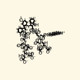 COc1ccc(Cc2c(C(=O)NNC(=O)CN(CCN(CC(=O)[O-])CC(NCC(=O)[O-])NCC(=O)[O-])CC(=O)[O-])[nH]c3ccccc23)c(-c2cn(C(=O)NNC(=O)CN(CCN(CC(=O)[O-])CC(NCC(=O)[O-])NCC(=O)[O-])CC(=O)[O-])c3ccccc23)c1.[Na+].[Na+].[Na+].[Na+].[Na+].[Na+].[Na+].[Na+]